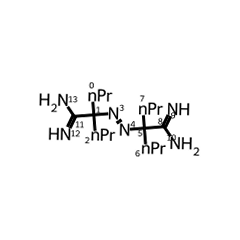 CCCC(CCC)(N=NC(CCC)(CCC)C(=N)N)C(=N)N